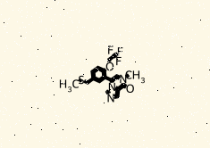 CSCc1ccc(OCC(F)(F)F)c(-c2cn(C)c(=O)c3cncn23)c1